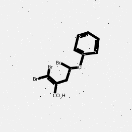 O=C(O)C(CC(Br)Oc1ccccc1)=C(Br)Br